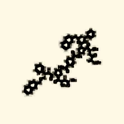 CC[C@@H](C)C(=O)N[C@H](C(=O)N1C[C@@H](NC(=O)c2ccc(C(=O)N[C@H]3C[C@@H](C(=O)N[C@H](COCc4ccc5ccccc5c4)c4ccccc4)N(C(=O)[C@@H](CC(=O)[C@H](C)NC)C(C)(C)C)C3)cc2)C[C@H]1C(=O)N[C@H](COCc1ccc2ccccc2c1)c1ccccc1)C(C)(C)C